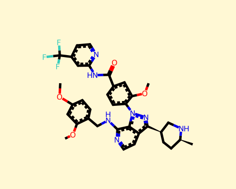 COc1ccc(CNc2nccc3c([C@@H]4CC[C@H](C)NC4)nn(-c4ccc(C(=O)Nc5cc(C(F)(F)F)ccn5)cc4OC)c23)c(OC)c1